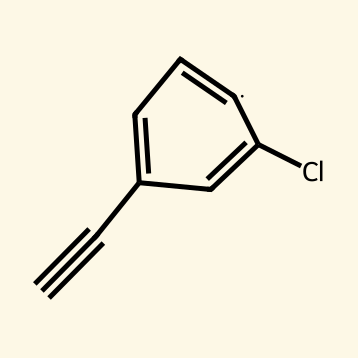 C#Cc1cc[c]c(Cl)c1